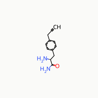 C#CCc1ccc(C[C@H](N)C(N)=O)cc1